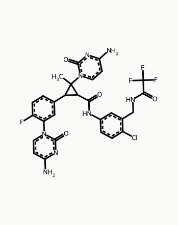 CC1(n2ccc(N)nc2=O)C(C(=O)Nc2ccc(Cl)c(CNC(=O)C(F)(F)F)c2)C1c1ccc(F)c(-n2ccc(N)nc2=O)c1